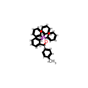 Cc1ccc([C@@H]2OP(c3ccccc3)(c3ccccc3)(c3ccccc3)c3ccccc32)cc1